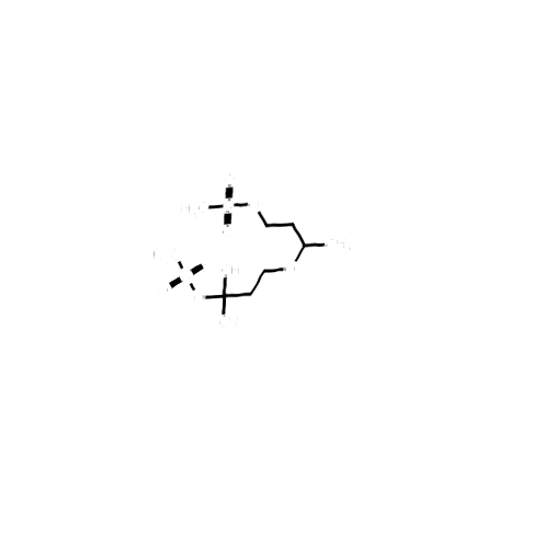 CC(CCOS(C)(=O)=O)OCCC(C)(C)OS(C)(=O)=O